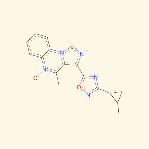 Cc1c2c(-c3nc(C4CC4C)no3)ncn2c2ccccc2[n+]1[O-]